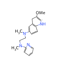 COC1=[C]Nc2ccc(N(C)CCN(C)c3ccccn3)cc2C1